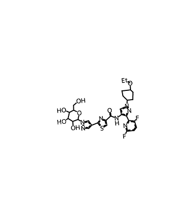 CCOC1CCC(n2cc(NC(=O)c3csc(-c4cnn(C5OC(CO)C(O)C(O)C5O)c4)n3)c(-c3nc(F)ccc3F)n2)CC1